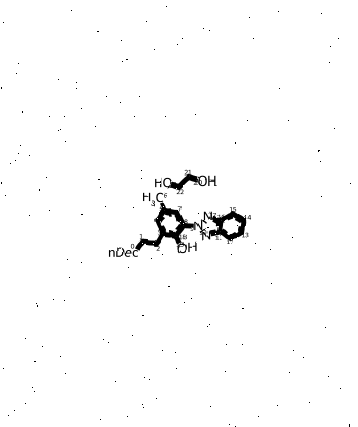 CCCCCCCCCCCCc1cc(C)cc(-n2nc3ccccc3n2)c1O.OCCO